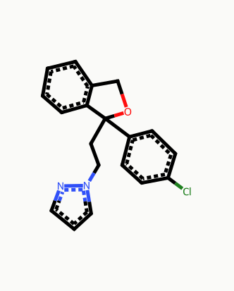 Clc1ccc(C2(CCn3cccn3)OCc3ccccc32)cc1